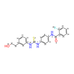 O=C(Nc1ccc(NC(=S)Nc2cccc(CCO)c2)cc1)c1ccccc1F